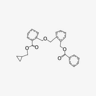 O=C(OCc1ccccc1COCc1ccccc1C(=O)OCC1CC1)c1ccccc1